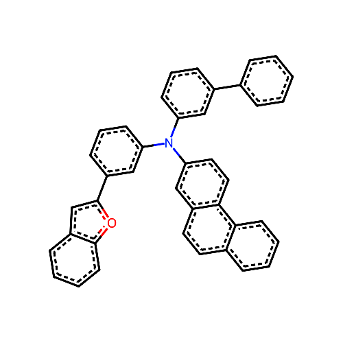 c1ccc(-c2cccc(N(c3cccc(-c4cc5ccccc5o4)c3)c3ccc4c(ccc5ccccc54)c3)c2)cc1